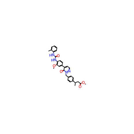 COC(=O)CC(C)c1ccc(Cn2nccc(-c3ccc(NC(=O)Nc4ccccc4C)c(OC)c3)c2=O)cc1